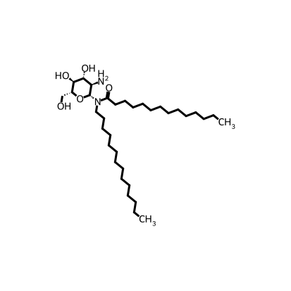 CCCCCCCCCCCCCCN(C(=O)CCCCCCCCCCCCC)[C@@H]1O[C@H](CO)[C@@H](O)[C@H](O)[C@H]1N